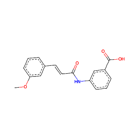 COc1cccc(C=CC(=O)Nc2cccc(C(=O)O)c2)c1